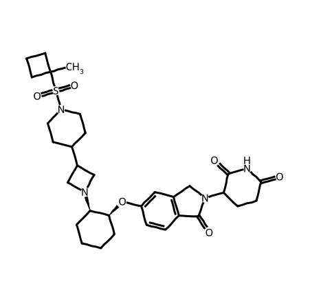 CC1(S(=O)(=O)N2CCC(C3CN([C@@H]4CCCC[C@@H]4Oc4ccc5c(c4)CN(C4CCC(=O)NC4=O)C5=O)C3)CC2)CCC1